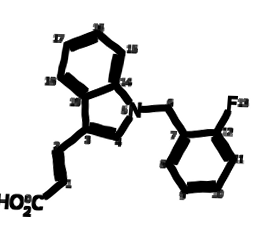 O=C(O)/C=C/c1cn(Cc2ccccc2F)c2ccccc12